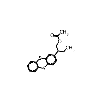 CCC(COC(C)=O)c1ccc2c(c1)Sc1ccccc1S2